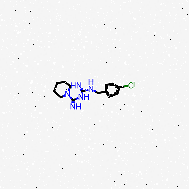 N=C(NCc1ccc(Cl)cc1)NC(=N)N1CCCCC1